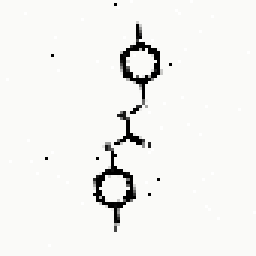 Cc1ccc(SNC(=O)Nc2ccc(F)cc2)cc1